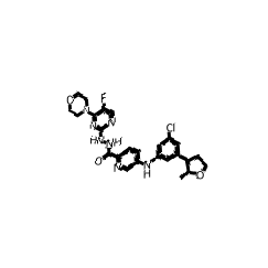 CC1OCCC1c1cc(Cl)cc(Nc2ccc(C(=O)NNc3ncc(F)c(N4CCOCC4)n3)nc2)c1